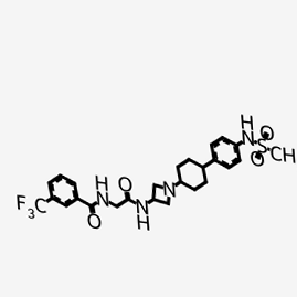 CS(=O)(=O)Nc1ccc(C2CCC(N3CC(NC(=O)CNC(=O)c4cccc(C(F)(F)F)c4)C3)CC2)cc1